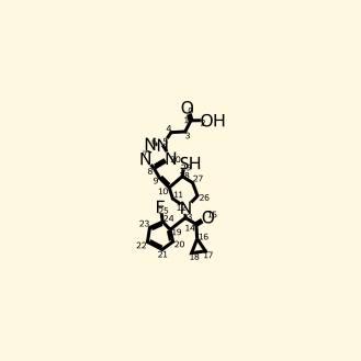 O=C(O)CCn1nnc(C=C2CN(C(C(=O)C3CC3)c3ccccc3F)CCC2S)n1